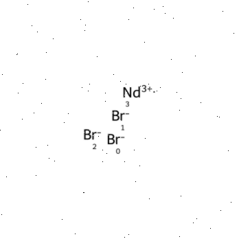 [Br-].[Br-].[Br-].[Nd+3]